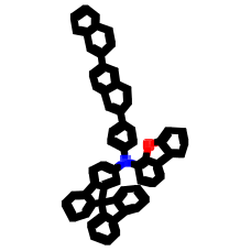 c1ccc2c(c1)-c1ccccc1C21c2ccccc2-c2ccc(N(c3ccc(-c4ccc5cc(-c6ccc7ccccc7c6)ccc5c4)cc3)c3cccc4c3oc3ccccc34)cc21